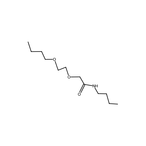 CCCCNC(=O)COCCOCCCC